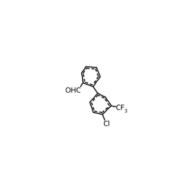 O=Cc1ccccc1-c1ccc(Cl)c(C(F)(F)F)c1